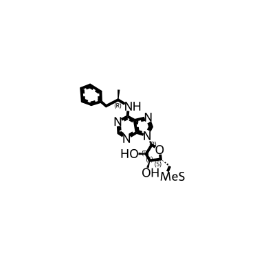 CSC[C@H]1O[C@@H](n2cnc3c(N[C@H](C)Cc4ccccc4)ncnc32)[C@H](O)[C@@H]1O